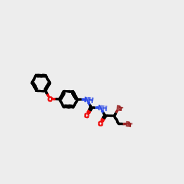 O=C(NC(=O)C(Br)CBr)Nc1ccc(Oc2ccccc2)cc1